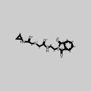 O=C(CSCC(=O)NC1CC1)NCCN1C(=O)c2ccccc2C1=O